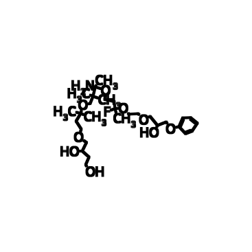 CC(C)(CCOCC(O)CCO)OCC(C)(C)C(C)(N)OCCC(C)(F)OCCOCC(O)COc1ccccc1